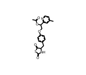 CC(=O)OC(COc1ccc(CC2NC(=O)SC2=O)cc1)c1cc(C)ccn1